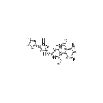 CCc1nc(Nc2cc(-c3cccs3)[nH]n2)nc(NC(C)c2ccc(F)cc2F)n1